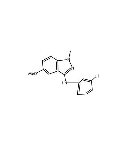 COc1ccc2c(c1)c(Nc1cccc(Cl)c1)nn2C